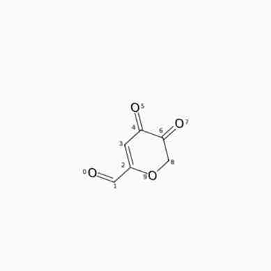 O=CC1=CC(=O)C(=O)CO1